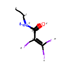 CCNC(=O)C(I)=C(I)I